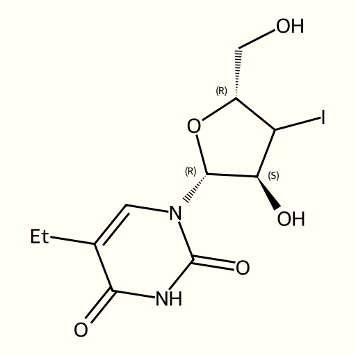 CCc1cn([C@@H]2O[C@H](CO)C(I)[C@H]2O)c(=O)[nH]c1=O